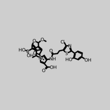 COC1Oc2c3c1c(c(C(C)n1cc(NC(=O)CCc4sc(-c5ccc(O)cc5O)nc4Cl)c(C(=O)O)c1)c2B(O)O)C(OC)O3